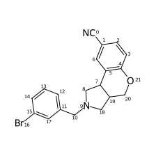 N#Cc1ccc2c(c1)C1CN(Cc3cccc(Br)c3)CC1CO2